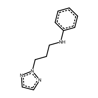 c1ccc(NCCCn2nccn2)cc1